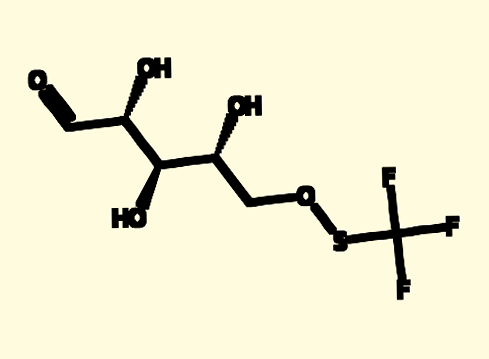 O=C[C@H](O)[C@H](O)[C@H](O)COSC(F)(F)F